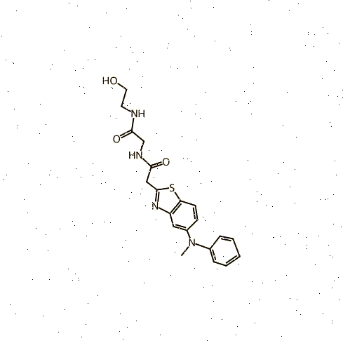 CN(c1ccccc1)c1ccc2sc(CC(=O)NCC(=O)NCCO)nc2c1